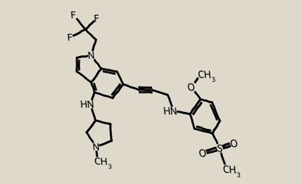 COc1ccc(S(C)(=O)=O)cc1NCC#Cc1cc(NC2CCN(C)C2)c2ccn(CC(F)(F)F)c2c1